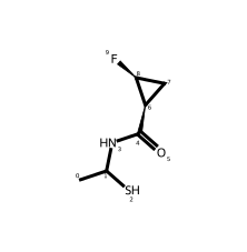 CC(S)NC(=O)[C@@H]1C[C@@H]1F